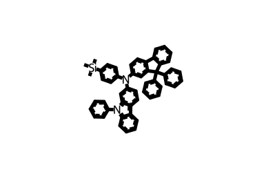 C[Si](C)(C)c1ccc(N(c2ccc3c(c2)C(c2ccccc2)(c2ccccc2)c2ccccc2-3)c2ccc3c4ccccc4n(-c4ccccc4)c3c2)cc1